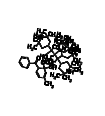 CC1=CC(O)(OC(=O)CC(C(=O)O)(C2CC(C)(C)NC(C)(C)C2)C(C(=O)O)(C2CC(C)(C)NC(C)(C)C2)C(C(=O)O)(C2CC(C)(C)NC(C)(C)C2)C2CC(C)(C)NC(C)(C)C2)C(C(=O)c2ccccc2)C=C1